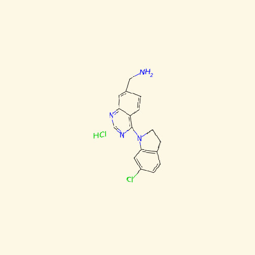 Cl.NCc1ccc2c(N3CCc4ccc(Cl)cc43)ncnc2c1